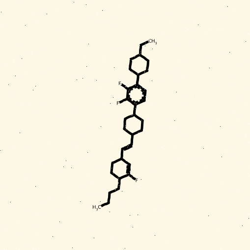 CCCCC1CCC(/C=C/C2CCC(c3ccc(C4CCC(CC)CC4)c(F)c3F)CC2)C=C1F